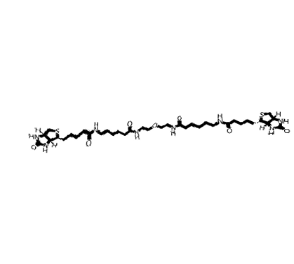 O=C(CCCC[C@@H]1SC[C@@H]2NC(=O)N[C@@H]21)NCCCCCC(=O)NCCOCCNC(=O)CCCCCNC(=O)CCCC[C@@H]1SC[C@@H]2NC(=O)N[C@@H]21